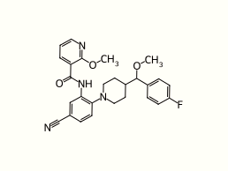 COc1ncccc1C(=O)Nc1cc(C#N)ccc1N1CCC(C(OC)c2ccc(F)cc2)CC1